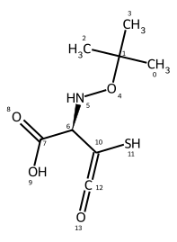 CC(C)(C)ON[C@H](C(=O)O)C(S)=C=O